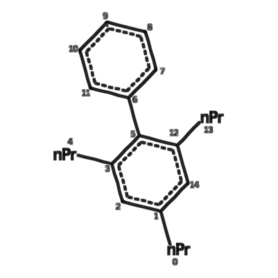 CCCc1cc(CCC)c(-c2cc[c]cc2)c(CCC)c1